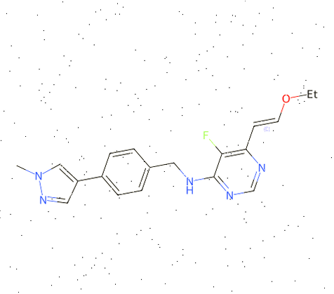 CCO/C=C/c1ncnc(NCc2ccc(-c3cnn(C)c3)cc2)c1F